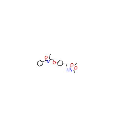 CCOC(CCc1ccc(OCc2nc(-c3ccccc3)oc2C)cc1)NC(C)=O